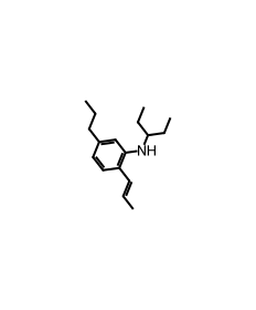 CC=Cc1ccc(CCC)cc1NC(CC)CC